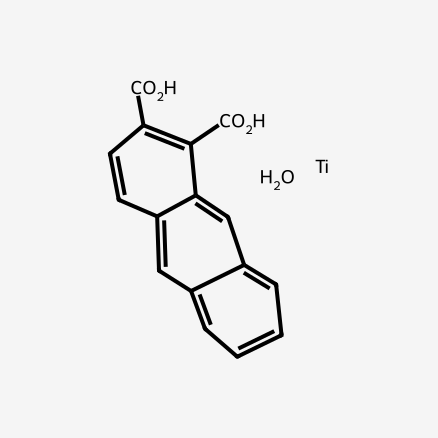 O.O=C(O)c1ccc2cc3ccccc3cc2c1C(=O)O.[Ti]